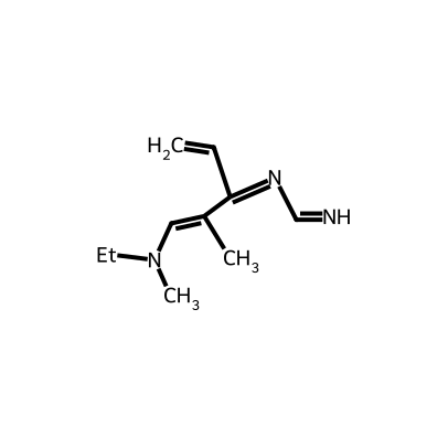 C=CC(=N/C=N)/C(C)=C/N(C)CC